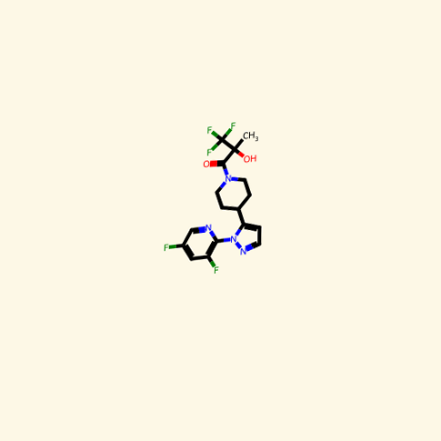 CC(O)(C(=O)N1CCC(c2ccnn2-c2ncc(F)cc2F)CC1)C(F)(F)F